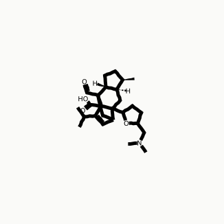 CC(C)C1=CC2CC3(C=O)[C@@H]4CC[C@@H](C)[C@H]4CC2(C2CCC(CN(C)C)O2)C13C(=O)O